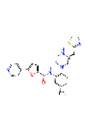 O=C(Nc1cc(C(F)(F)F)ccc1N1CCN[C@@H](Cc2nccs2)C1)c1ccc(-c2ccncc2)o1